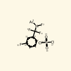 CC(=O)N(F)C(F)(F)c1cccc(F)c1.O=S(=O)(Cl)Cl